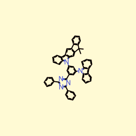 CC1(C)c2ccccc2-c2cc3c4ccccc4n(-c4cc(-c5nc(-c6ccccc6)nc(-c6ccccc6)n5)cc(-n5c6ccccc6c6ccccc65)c4)c3cc21